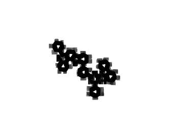 c1ccc(-c2nc3ccccc3c3c2ccc2c4cccc(-c5cccc(C6=NC(c7ccccc7)NC(n7c8ccccc8c8ccccc87)=N6)c5)c4sc23)cc1